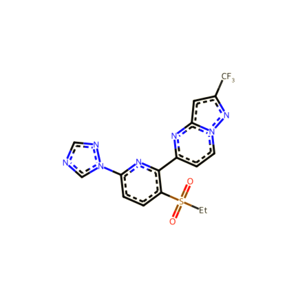 CCS(=O)(=O)c1ccc(-n2cncn2)nc1-c1ccn2nc(C(F)(F)F)cc2n1